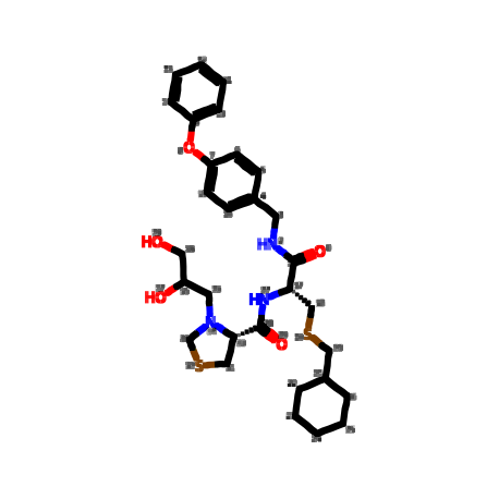 O=C(NCc1ccc(Oc2ccccc2)cc1)[C@H](CSCC1CCCCC1)NC(=O)[C@@H]1CSCN1CC(O)CO